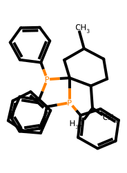 CC1CCC(C(C)C)C(P(c2ccccc2)c2ccccc2)(P(c2ccccc2)c2ccccc2)C1